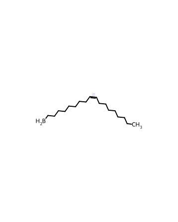 BCCCCCCCC/C=C\CCCCCCCC